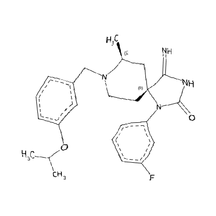 CC(C)Oc1cccc(CN2CC[C@@]3(C[C@@H]2C)C(=N)NC(=O)N3c2cccc(F)c2)c1